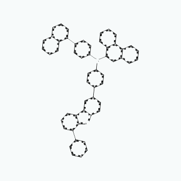 c1ccc(-c2cccc3c2oc2ccc(-c4ccc(N(c5ccc(-c6cccc7ccccc67)cc5)c5cc6ccccc6c6ccccc56)cc4)cc23)cc1